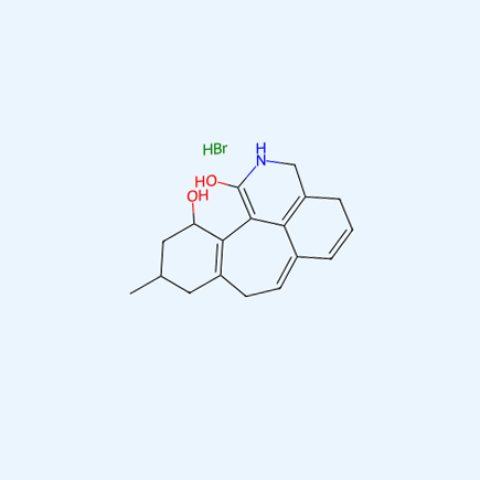 Br.CC1CC2=C(C3=C(O)NCC4=C3C(=CC2)C=CC4)C(O)C1